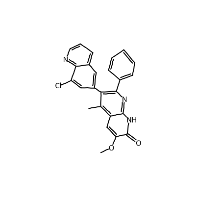 COc1cc2c(C)c(-c3cc(Cl)c4ncccc4c3)c(-c3ccccc3)nc2[nH]c1=O